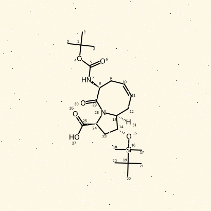 CC(C)(C)OC(=O)N[C@H]1CC=CC[C@H]2[C@H](O[Si](C)(C)C(C)(C)C)C[C@@H](C(=O)O)N2C1=O